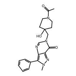 CC(=O)N1CCC(O)(Cn2cnc3c(-c4ccccc4)n(C)nc3c2=O)CC1